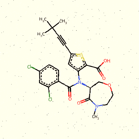 CN1CCOC[C@H](N(C(=O)c2ccc(Cl)cc2Cl)c2cc(C#CC(C)(C)C)sc2C(=O)O)C1=O